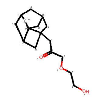 O=C(COCCO)CC12CC3CC4CC(C1)C2(C4)C3